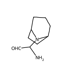 NC(C=O)N1C2CCCC1CC2